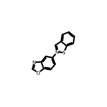 c1ccc2s[n+](-c3ccc4ocnc4c3)cc2c1